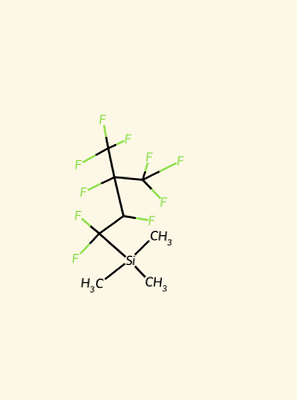 C[Si](C)(C)C(F)(F)C(F)C(F)(C(F)(F)F)C(F)(F)F